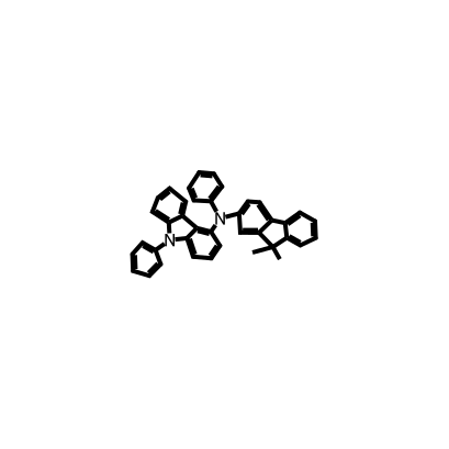 CC1(C)c2ccccc2-c2ccc(N(c3ccccc3)c3cccc4c3c3ccccc3n4-c3ccccc3)cc21